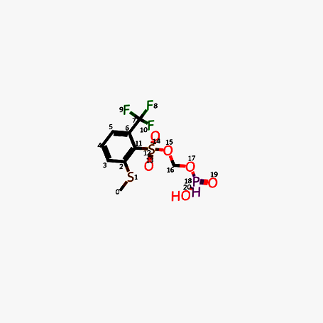 CSc1cccc(C(F)(F)F)c1S(=O)(=O)OCO[PH](=O)O